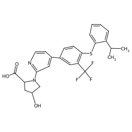 CC(C)c1ccccc1Sc1ccc(-c2ccnc(N3CC(O)CC3C(=O)O)c2)cc1C(F)(F)F